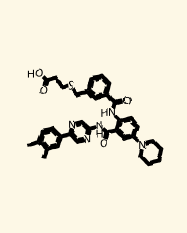 Cc1ccc(-c2cnc(NC(=O)c3cc(N4CCCCC4)ccc3NC(=O)c3cccc(CSCCC(=O)O)c3)cn2)cc1C